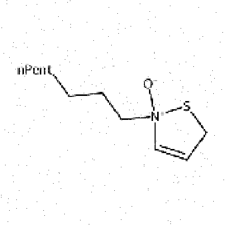 CCCCCCCC[N+]1([O-])C=CCS1